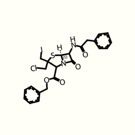 O=C(Cc1ccccc1)NC1C(=O)N2C(C(=O)OCc3ccccc3)C(CCl)(CI)S[C@@H]12